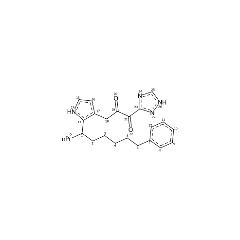 CCCC(CCCCCc1ccccc1)c1[nH]ccc1CC(=O)C(=O)c1nc[nH]n1